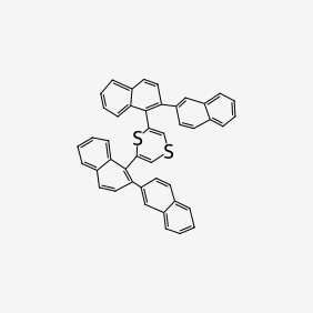 C1=C(c2c(-c3ccc4ccccc4c3)ccc3ccccc23)SC(c2c(-c3ccc4ccccc4c3)ccc3ccccc23)=CS1